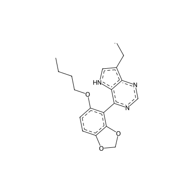 [CH2]Cc1c[nH]c2c(-c3c(OCCCC)ccc4c3OCO4)ncnc12